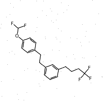 FC(F)Oc1ccc(CCc2cccc(CCCC(F)(F)F)c2)cc1